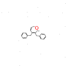 [C]1OCC=CC(Cc2ccccc2)=C1Cc1ccccc1